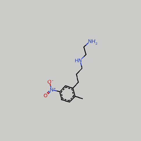 Cc1ccc([N+](=O)[O-])cc1CCCNCCN